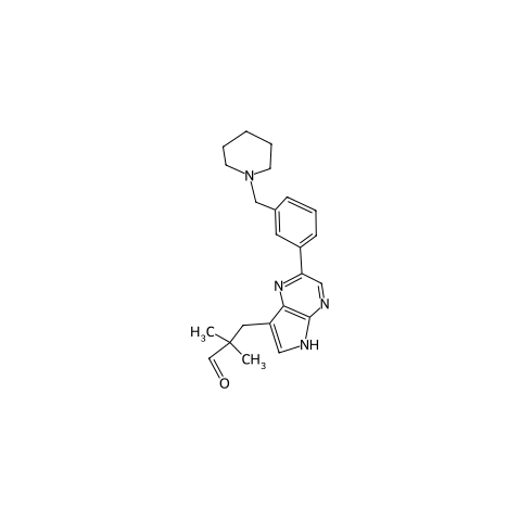 CC(C)(C=O)Cc1c[nH]c2ncc(-c3cccc(CN4CCCCC4)c3)nc12